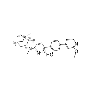 COc1cc(-c2ccc(-c3ccc(N(C)[C@@H]4C[C@@]5(C)C=C[C@](C)(C5)[C@@H]4F)nn3)c(O)c2)ccn1